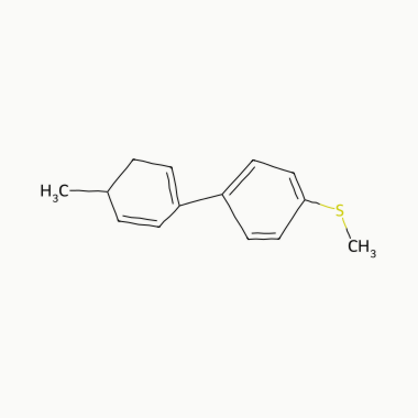 CSc1ccc(C2=CCC(C)C=C2)cc1